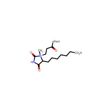 CCCCCC(=O)CC[N+]1(C)C(=O)NC(=O)C1CCCCCCC(=O)O